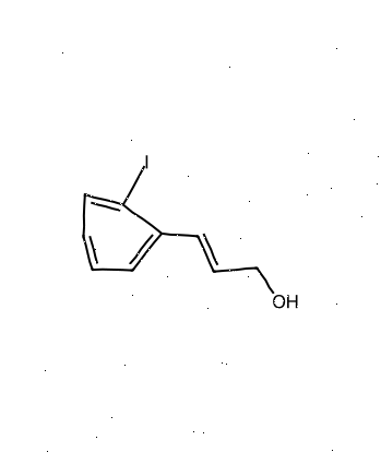 OCC=Cc1ccccc1I